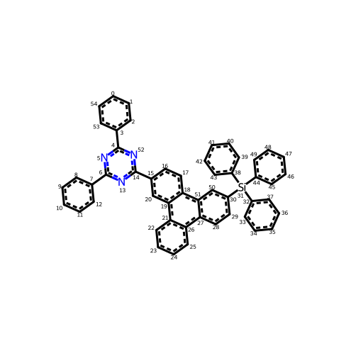 c1ccc(-c2nc(-c3ccccc3)nc(-c3ccc4c(c3)c3ccccc3c3ccc([Si](c5ccccc5)(c5ccccc5)c5ccccc5)cc34)n2)cc1